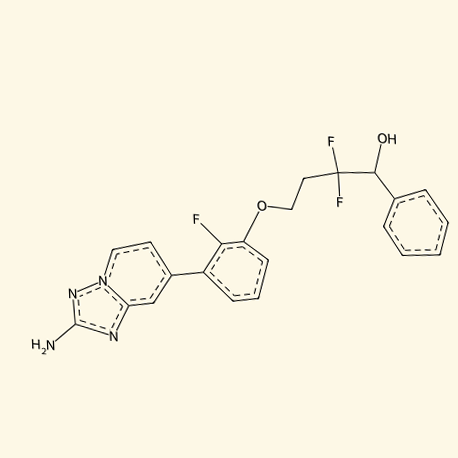 Nc1nc2cc(-c3cccc(OCCC(F)(F)C(O)c4ccccc4)c3F)ccn2n1